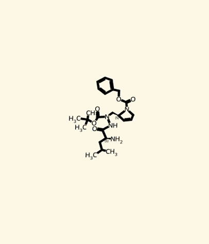 CC(C)C[C@H](N)C(=O)NN(C[C@@H]1C=CCN1C(=O)OCc1ccccc1)C(=O)OC(C)(C)C